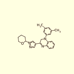 Cc1cc(C)cc(N2CC(c3cnn(C4CCCCO4)c3)=Nc3ccccc32)c1